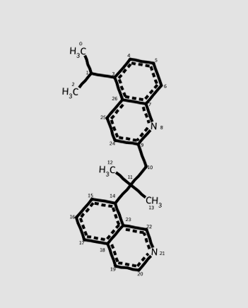 CC(C)c1cccc2nc(CC(C)(C)c3cccc4ccncc34)ccc12